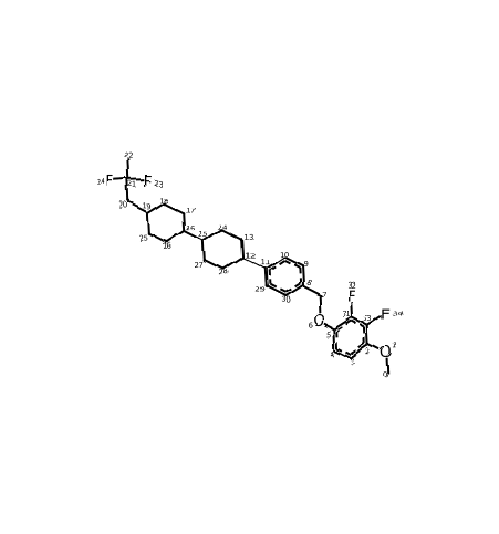 COc1ccc(OCc2ccc(C3CCC(C4CCC(CC(C)(F)F)CC4)CC3)cc2)c(F)c1F